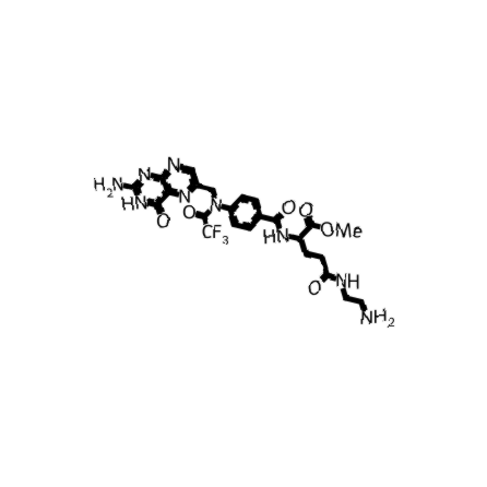 COC(=O)C(CCC(=O)NCCN)NC(=O)c1ccc(N(Cc2cnc3nc(N)[nH]c(=O)c3n2)C(=O)C(F)(F)F)cc1